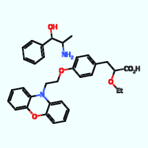 CC(N)C(O)c1ccccc1.CCOC(Cc1ccc(OCCN2c3ccccc3Oc3ccccc32)cc1)C(=O)O